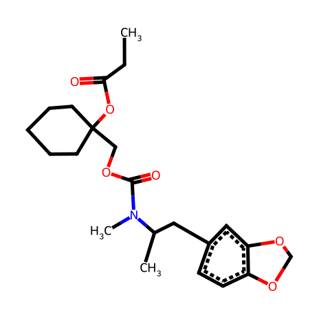 CCC(=O)OC1(COC(=O)N(C)C(C)Cc2ccc3c(c2)OCO3)CCCCC1